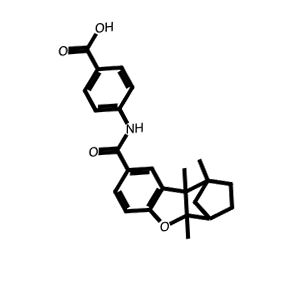 CC12CCC(C1)C1(C)Oc3ccc(C(=O)Nc4ccc(C(=O)O)cc4)cc3C21C